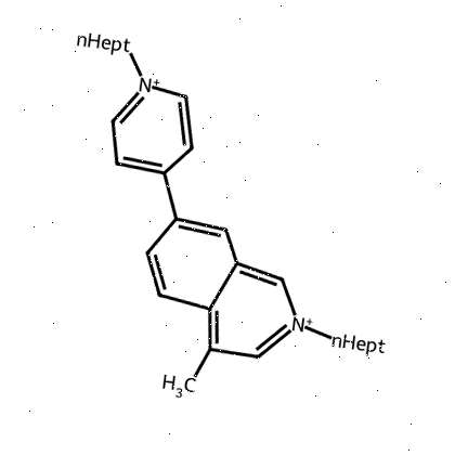 CCCCCCC[n+]1ccc(-c2ccc3c(C)c[n+](CCCCCCC)cc3c2)cc1